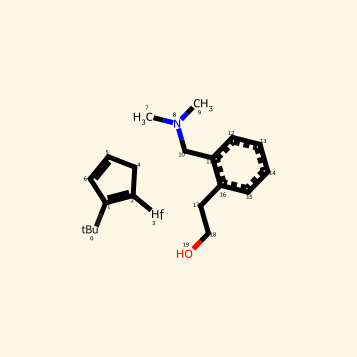 CC(C)(C)C1=[C]([Hf])CC=C1.CN(C)Cc1ccccc1CCO